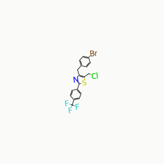 FC(F)(F)c1ccc(-c2nc(Cc3ccc(Br)cc3)c(CCl)s2)cc1